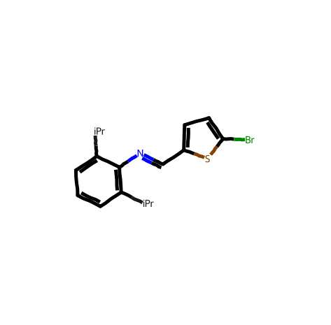 CC(C)c1cccc(C(C)C)c1N=Cc1ccc(Br)s1